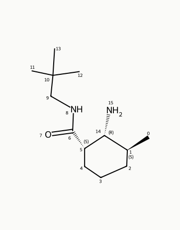 C[C@H]1CCC[C@H](C(=O)NCC(C)(C)C)[C@@H]1N